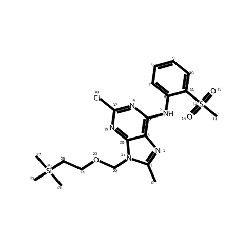 Cc1nc2c(Nc3ccccc3S(C)(=O)=O)nc(Cl)nc2n1COCC[Si](C)(C)C